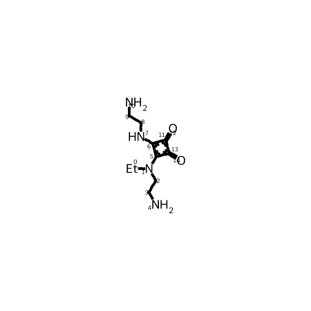 CCN(CCN)c1c(NCCN)c(=O)c1=O